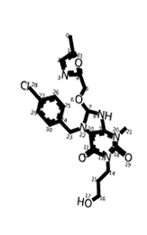 Cc1cnc(COC2Nc3c(c(=O)n(CCCO)c(=O)n3C)N2Cc2ccc(Cl)cc2)o1